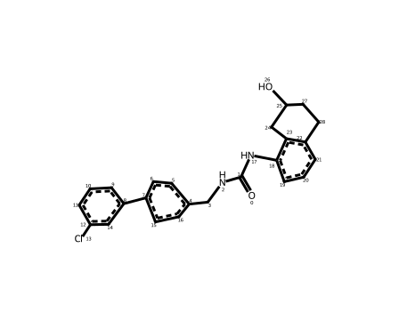 O=C(NCc1ccc(-c2cccc(Cl)c2)cc1)Nc1cccc2c1CC(O)CC2